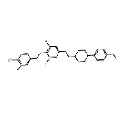 CCc1ccc(C2CCC(CCc3cc(F)c(CCc4ccc(Cl)c(F)c4)c(F)c3)CC2)cc1